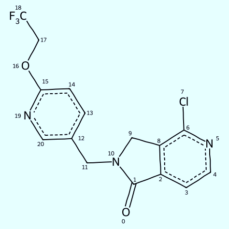 O=C1c2ccnc(Cl)c2CN1Cc1ccc(OCC(F)(F)F)nc1